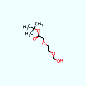 CC(C)(C)OC(=O)COCCOCO